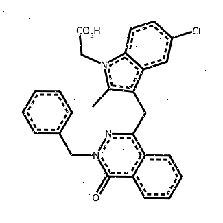 Cc1c(Cc2nn(Cc3ccccc3)c(=O)c3ccccc23)c2cc(Cl)ccc2n1CC(=O)O